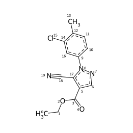 CCOC(=O)c1cnn(-c2ccc(C)c(Cl)c2)c1C#N